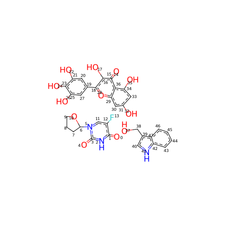 O=c1[nH]c(=O)n(C2CCCO2)cc1F.O=c1c(O)c(-c2cc(O)c(O)c(O)c2)oc2cc(O)cc(O)c12.OCc1c[nH]c2ccccc12